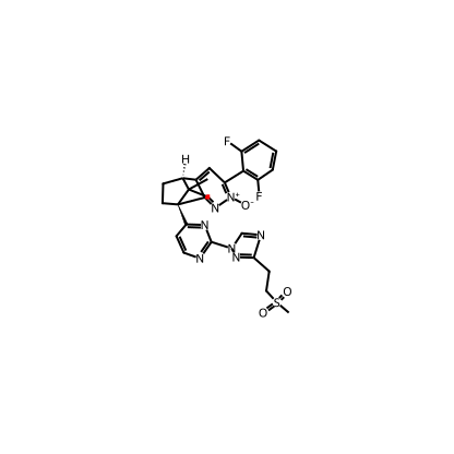 CC1(C)[C@H]2CC[C@@]1(c1ccnc(-n3cnc(CCS(C)(=O)=O)n3)n1)c1n[n+]([O-])c(-c3c(F)cccc3F)cc12